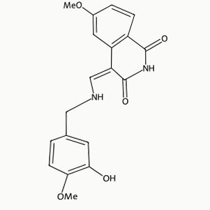 COc1ccc2c(c1)/C(=C/NCc1ccc(OC)c(O)c1)C(=O)NC2=O